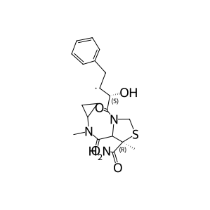 CN(C(=O)C1N(C(=O)[C@@H](O)[CH]Cc2ccccc2)CS[C@@]1(C)C(N)=O)C1CC1